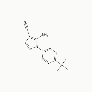 CC(C)(C)c1ccc(-n2ncc(C#N)c2N)cc1